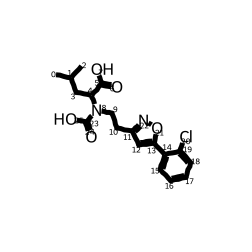 CC(C)CC(C(=O)O)N(CCc1cc(-c2ccccc2Cl)on1)C(=O)O